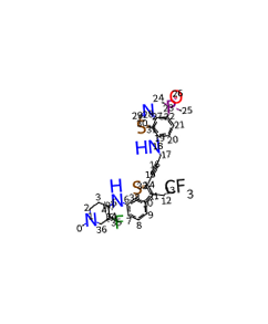 CN1CC[C@@H](Nc2cccc3c(CC(F)(F)F)c(C#CCNc4ccc(P(C)(C)=O)c5ncsc45)sc23)[C@@H](F)C1